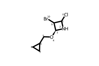 ClC1N[C@@H](OCC2CC2)C1Br